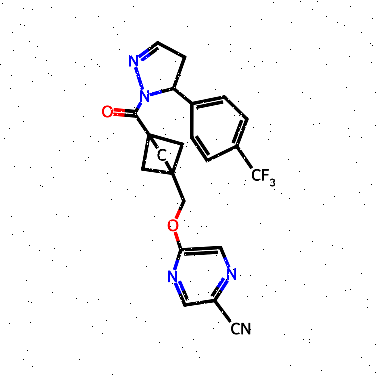 N#Cc1cnc(OCC23CC(C(=O)N4N=CCC4c4ccc(C(F)(F)F)cc4)(C2)C3)cn1